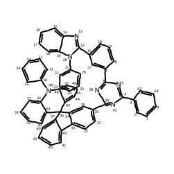 c1ccc(-c2nc(-c3cccc(-c4nc5ccccc5n4-c4ccccc4)c3)nc(-c3ccc4c(c3)C3(c5ccccc5-4)c4ccccc4N(c4ccccc4)c4ccccc43)n2)cc1